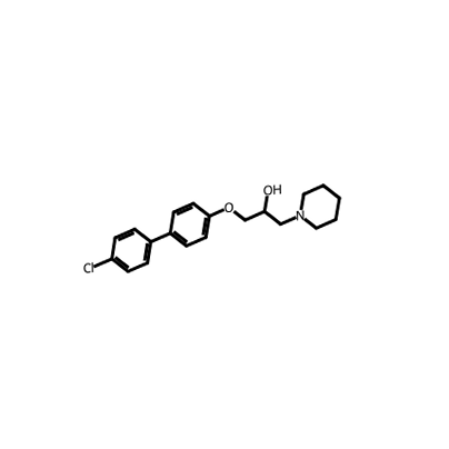 OC(COc1ccc(-c2ccc(Cl)cc2)cc1)CN1CCCCC1